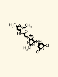 CCn1nc(C)cc1NC(=O)Cn1cnc2c(Nc3cc(Cl)nc(Cl)c3)nc(N)nc21